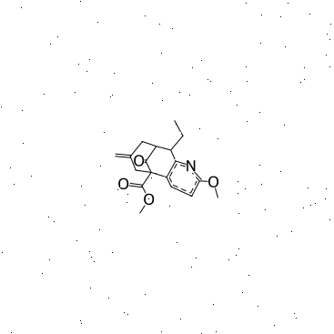 C=C1CC2C(=O)C(C(=O)OC)(C1)c1ccc(OC)nc1C2CC